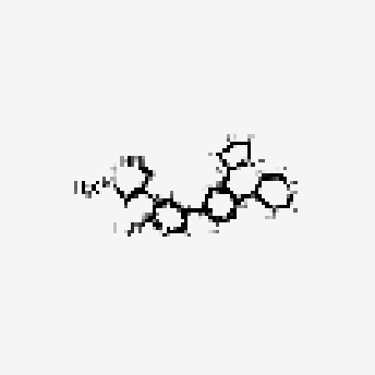 CN/C=C(\C=N)c1cc(-c2ccc(C3CCOCC3)c(C3CCCN3)c2)cnc1N